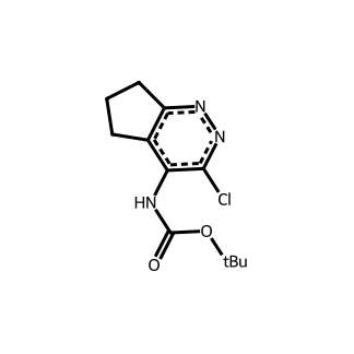 CC(C)(C)OC(=O)Nc1c(Cl)nnc2c1CCC2